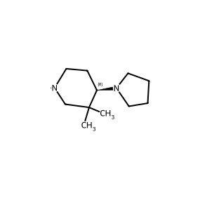 CC1(C)C[N]CC[C@H]1N1CCCC1